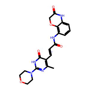 Cc1nc(N2CCOCC2)[nH]c(=O)c1/C=C/C(=O)Nc1cccc2c1OCC(=O)N2